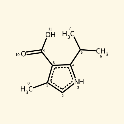 Cc1c[nH]c(C(C)C)c1C(=O)O